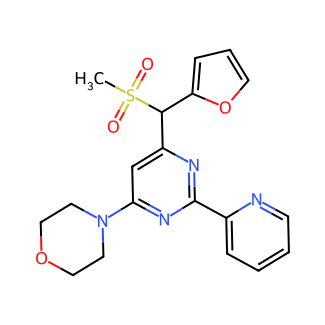 CS(=O)(=O)C(c1cc(N2CCOCC2)nc(-c2ccccn2)n1)c1ccco1